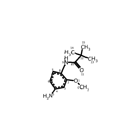 COc1cc(N)ccc1NC(=O)C(C)(C)C